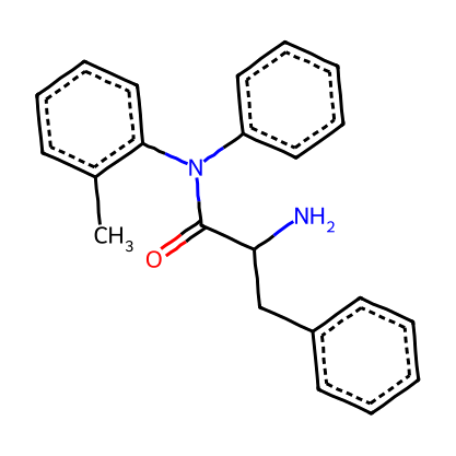 Cc1ccccc1N(C(=O)C(N)Cc1ccccc1)c1ccccc1